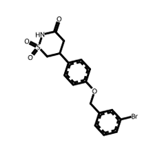 O=C1CC(c2ccc(OCc3cccc(Br)c3)cc2)CS(=O)(=O)N1